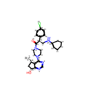 C[C@@H]1C[C@@H](O)c2ncnc(N3CCN(C(=O)[C@H](CNC4CCCCC4)c4ccc(Cl)cc4)CC3)c21